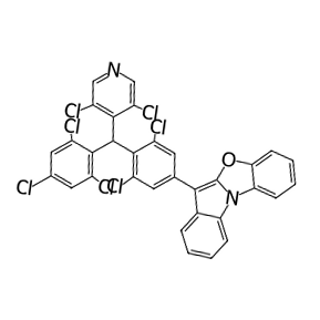 Clc1cc(Cl)c(C(c2c(Cl)cncc2Cl)c2c(Cl)cc(-c3c4ccccc4n4c3oc3ccccc34)cc2Cl)c(Cl)c1